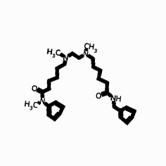 CN(CCCCCC(=O)NCc1ccccc1)CCN(C)CCCCCC(=O)N(C)c1ccccc1